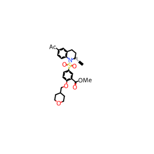 C#C[C@H]1CCc2cc(C(C)=O)ccc2N1S(=O)(=O)c1ccc(OCC2CCOCC2)c(C(=O)OC)c1